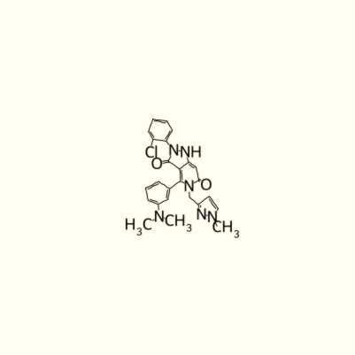 CN(C)c1cccc(-c2c3c(=O)n(-c4ccccc4Cl)[nH]c3cc(=O)n2Cc2ccn(C)n2)c1